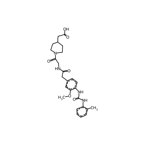 COc1cc(CC(=O)NCC(=O)N2CCC(CC(=O)O)CC2)ccc1NC(=O)Nc1ccccc1C